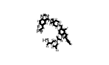 CC#Cc1cc2c(C)c(CN3CCC4(CC3)CN(c3ncnc5ccc(CC(F)(F)F)cc35)C4)ccc2n1CC(C)N(CCC(C)S)CC(C)C